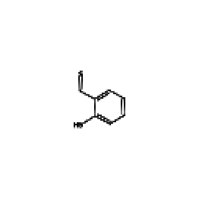 S=Cc1ccccc1S